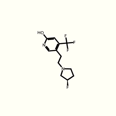 Oc1cc(C(F)(F)F)c(CCN2CC[C@@H](F)C2)cn1